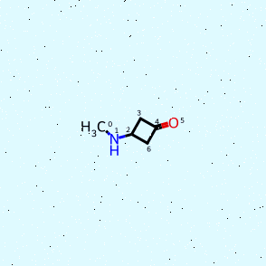 CNC1CC(=O)C1